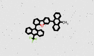 Cc1c2ccccc2c(-c2ccc3c(c2)oc2c(-c4c5ccccc5c(C(F)(F)F)c5ccccc45)cccc23)c2ccccc12